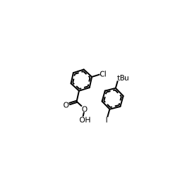 CC(C)(C)c1ccc(I)cc1.O=C(OO)c1cccc(Cl)c1